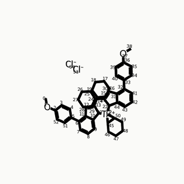 COc1ccc(-c2cccc3c2C=C(C2CCCCC2)[CH]3[Ti+2]2([CH]3C(C4CCCCC4)=Cc4c(-c5ccc(OC)cc5)cccc43)[CH]3CCCC[CH]32)cc1.[Cl-].[Cl-]